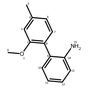 COc1cc(C)ccc1-c1ccccc1N